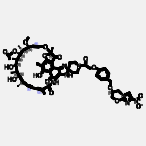 CO[C@H]1/C=C/O[C@@]2(C)Oc3c(C)c(O)c4c(c3C2=O)C2=NC3(CCN(C(=O)COc5ccc(CO[C@@H]6COc7nc([N+](=O)[O-])cn7C6)cc5)CC3)NC2=C(NC(=O)/C(C)=C\C=C\[C@H](C)[C@H](O)[C@@H](C)[C@@H](O)[C@@H](C)[C@H](OC(C)=O)[C@@H]1C)C4=O